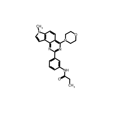 CCC(=O)Nc1cccc(-c2nc(N3CCOCC3)c3ccc4c(ccn4C)c3n2)c1